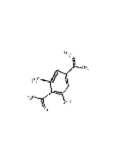 C=C(C)c1cc(C)c(C(N)=O)c(C)c1